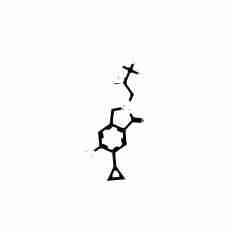 CC(C)(O)[C@H](F)CN1Cc2cc([N+](=O)[O-])c(C3CC3)cc2C1=O